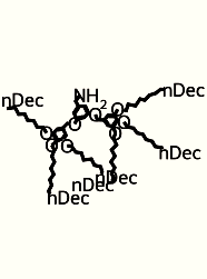 CCCCCCCCCCCCCCCCCCOc1cc(COc2cc(CN)cc(OCc3cc(OCCCCCCCCCCCCCCCCCC)c(OCCCCCCCCCCCCCCCCCC)c(OCCCCCCCCCCCCCCCCCC)c3)c2)cc(OCCCCCCCCCCCCCCCCCC)c1OCCCCCCCCCCCCCCCCCC